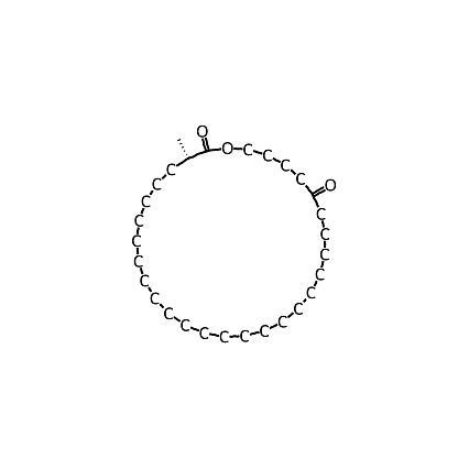 C[C@H]1CCCCCCCCCCCCCCCCCCCCCC(=O)CCCCOC1=O